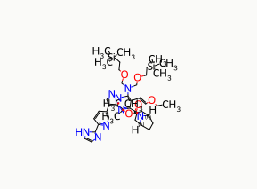 CCOC=Cc1c(C2C[C@H]3CC[C@@H](C2)N3C(=O)OC(C)(C)C)nc2c(-c3ccc(-c4ncc[nH]4)nc3)cnn2c1N(COCC[Si](C)(C)C)COCC[Si](C)(C)C